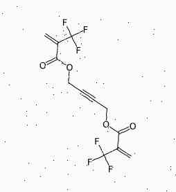 C=C(C(=O)OCC#CCOC(=O)C(=C)C(F)(F)F)C(F)(F)F